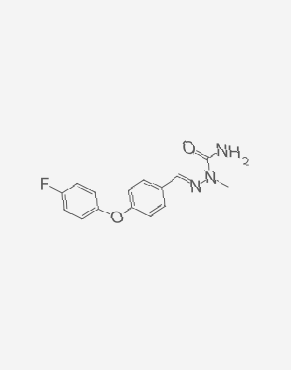 CN(N=Cc1ccc(Oc2ccc(F)cc2)cc1)C(N)=O